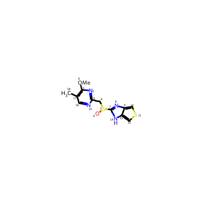 COc1nc(C[S+]([O-])c2nc3cscc3[nH]2)ncc1C